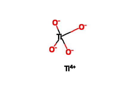 [O-][Ti]([O-])([O-])[O-].[Ti+4]